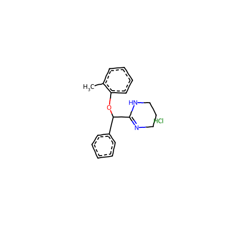 Cc1ccccc1OC(C1=NCCCN1)c1ccccc1.Cl